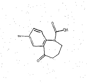 O=C1CCCN(C(=O)O)c2ccc(Br)cc21